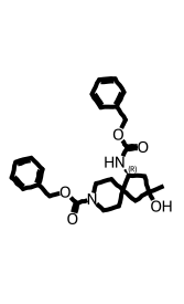 CC1(O)C[C@@H](NC(=O)OCc2ccccc2)C2(CCN(C(=O)OCc3ccccc3)CC2)C1